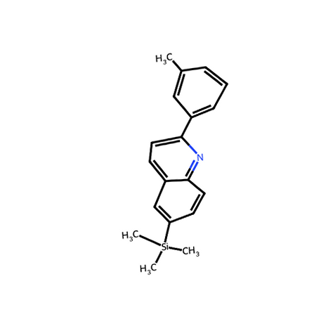 Cc1cccc(-c2ccc3cc([Si](C)(C)C)ccc3n2)c1